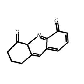 O=C1C=CC=C2C=C3CCCC(=O)C3N=C12